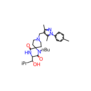 CCCCN1C(=O)C(C(O)C(C)C)NC(=O)C12CCN(Cc1c(C)nn(-c3ccc(C)cc3)c1C)CC2